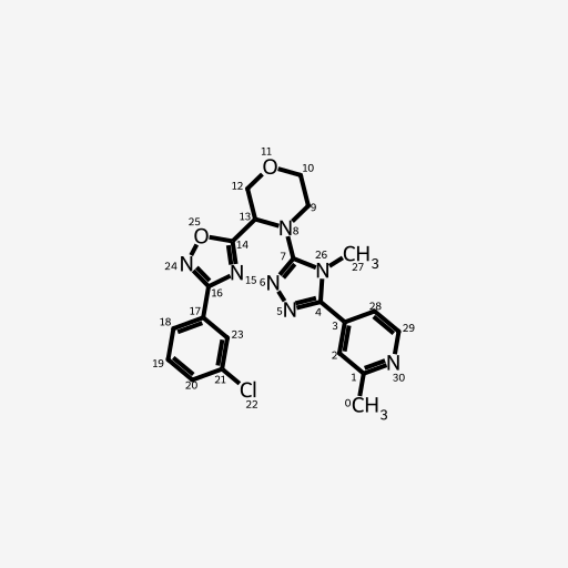 Cc1cc(-c2nnc(N3CCOCC3c3nc(-c4cccc(Cl)c4)no3)n2C)ccn1